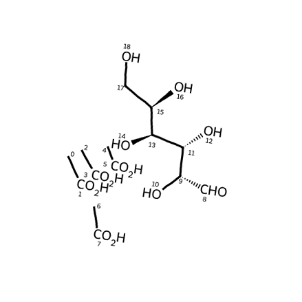 CC(=O)O.CC(=O)O.CC(=O)O.CC(=O)O.O=C[C@H](O)[C@@H](O)[C@@H](O)[C@H](O)CO